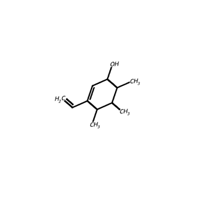 C=CC1=CC(O)C(C)C(C)C1C